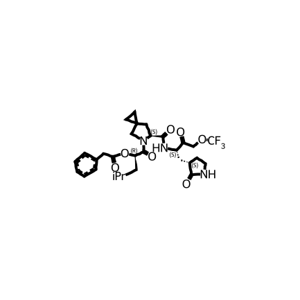 CC(C)C[C@@H](OC(=O)Cc1ccccc1)C(=O)N1CC2(CC2)C[C@H]1C(=O)N[C@@H](C[C@@H]1CCNC1=O)C(=O)COC(F)(F)F